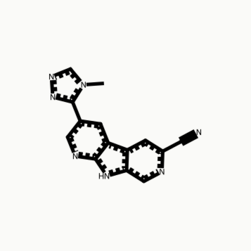 Cn1cnnc1-c1cnc2[nH]c3cnc(C#N)cc3c2c1